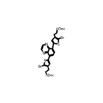 CCCCCCCCCCCCc1cc(-c2ccc(-c3cc(CCCCCCCCCCCC)c(Br)s3)c3nccnc23)sc1Br